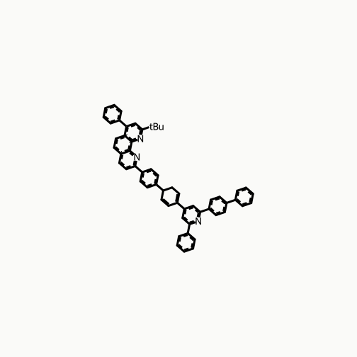 CC(C)(C)c1cc(-c2ccccc2)c2ccc3ccc(-c4ccc(C5C=CC(c6cc(-c7ccccc7)nc(-c7ccc(-c8ccccc8)cc7)c6)=CC5)cc4)nc3c2n1